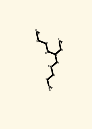 CC(C)CCSCC(CC(C)C)SCCC(C)C